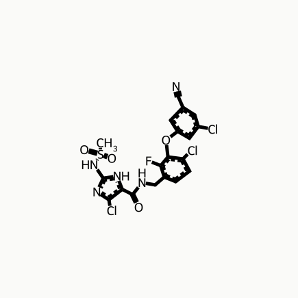 CS(=O)(=O)Nc1nc(Cl)c(C(=O)NCc2ccc(Cl)c(Oc3cc(Cl)cc(C#N)c3)c2F)[nH]1